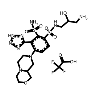 NCC(O)CNS(=O)(=O)c1ccc(N2CCN3CCOCC3C2)c(-c2nn[nH]n2)c1S(N)(=O)=O.O=C(O)C(F)(F)F